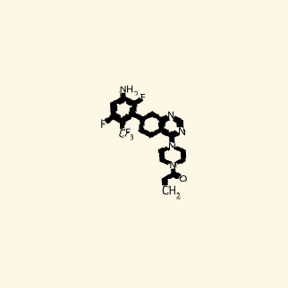 C=CC(=O)N1CCN(c2ncnc3c2CCC(c2c(F)c(N)cc(F)c2C(F)(F)F)C3)CC1